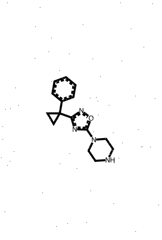 c1ccc(C2(c3noc(N4CCNCC4)n3)CC2)cc1